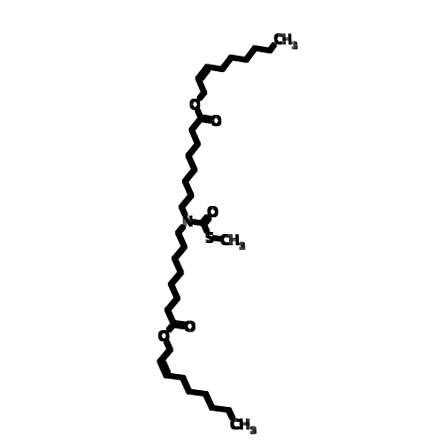 CCCCCC/C=C\COC(=O)CCCCCCCN(CCCCCCCC(=O)OC/C=C\CCCCCC)C(=O)SC